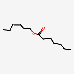 CC/C=C\CCOC(=O)CCCCCC